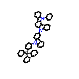 c1ccc(-n2c3ccccc3c3ccc4c(c5ccccc5n4-c4ccc5c(c4)c4ccccc4n5-c4cccc([Si](c5ccccc5)(c5ccccc5)c5ccccc5)c4)c32)cc1